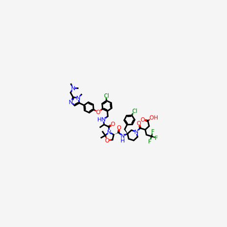 CC(NCc1ccc(Cl)cc1Oc1ccc(-c2cnc(CN(C)C)n2C)cc1)C(=O)N1[C@H](C(=O)N[C@@]2(Cc3ccc(Cl)cc3)CCCN(C(=O)C(CC(=O)O)CC(F)(F)F)C2)COC1(C)C